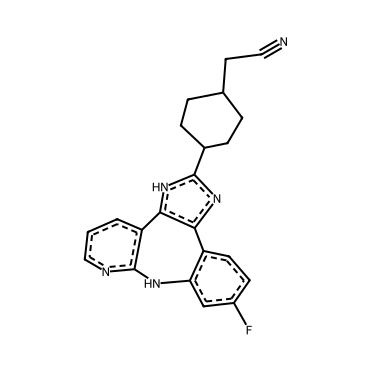 N#CCC1CCC(c2nc3c([nH]2)-c2cccnc2Nc2cc(F)ccc2-3)CC1